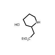 CCOC(=O)CC1CCCCN1.Cl